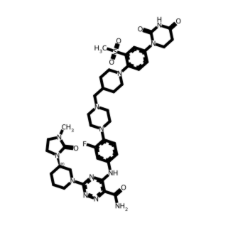 CN1CCN([C@@H]2CCCN(c3nnc(C(N)=O)c(Nc4ccc(N5CCN(CC6CCN(c7ccc(N8CCC(=O)NC8=O)cc7S(C)(=O)=O)CC6)CC5)c(F)c4)n3)C2)C1=O